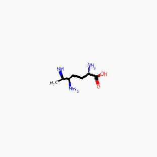 CC(=N)C(N)CC[C@@H](N)C(=O)O